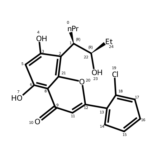 CCC[C@H](c1c(O)cc(O)c2c(=O)cc(-c3ccccc3Cl)oc12)[C@H](O)CC